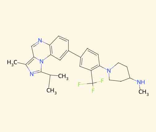 CNC1CCN(c2ccc(-c3ccc4ncc5c(C)nc(C(C)C)n5c4c3)cc2C(F)(F)F)CC1